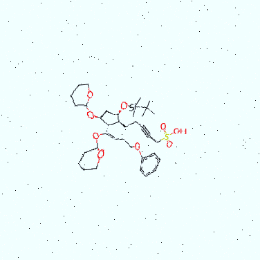 CC(C)(C)[Si](C)(C)O[C@@H]1C[C@H](OC2CCCCO2)[C@@H](/C(=C\CCOc2ccccc2)OC2CCCCO2)[C@@H]1CCC#CCS(=O)(=O)O